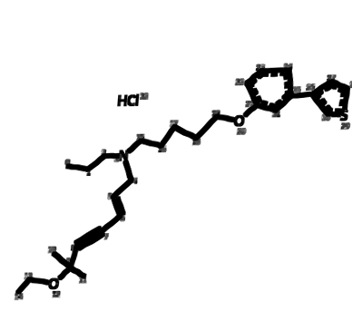 CCCN(CC=CC#CC(C)(C)OCC)CCCCCOc1cccc(-c2ccsc2)c1.Cl